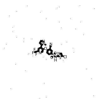 Cn1nccc1-c1cc(C(F)(F)F)ncc1Oc1ccc(S(=O)(=O)Nc2ncc(Cl)s2)cc1C#N